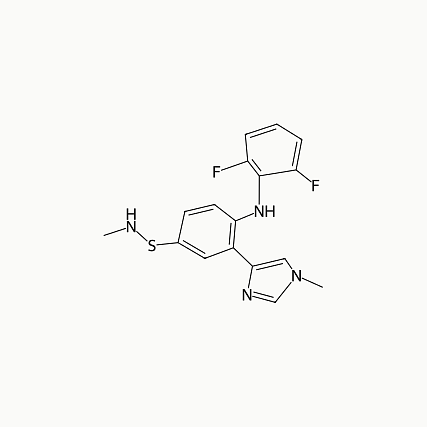 CNSc1ccc(Nc2c(F)cccc2F)c(-c2cn(C)cn2)c1